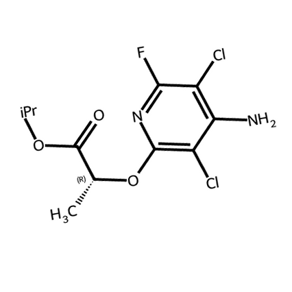 CC(C)OC(=O)[C@@H](C)Oc1nc(F)c(Cl)c(N)c1Cl